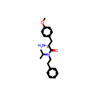 COc1ccc(C[C@@H](N)C(=O)N(CCc2ccccc2)C(C)C)cc1